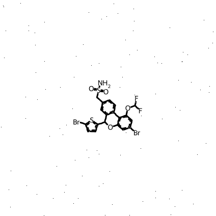 NS(=O)(=O)Cc1ccc2c(c1)C(c1ccc(Br)s1)Oc1cc(Br)cc(OC(F)F)c1-2